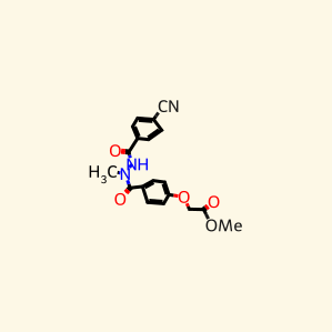 COC(=O)COc1ccc(C(=O)N(C)NC(=O)c2ccc(C#N)cc2)cc1